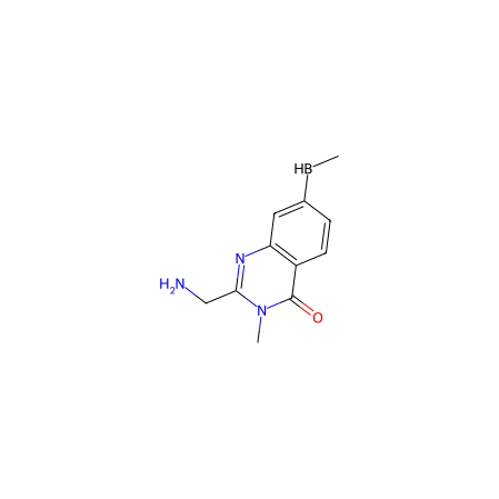 CBc1ccc2c(=O)n(C)c(CN)nc2c1